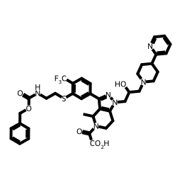 CC1c2c(-c3ccc(C(F)(F)F)c(SCCNC(=O)OCc4ccccc4)c3)nn(CC(O)CN3CCC(c4ccccn4)CC3)c2CCN1C(=O)C(=O)O